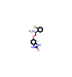 N[C@@H](COc1ccc2[nH]c(=O)[nH]c2c1)c1ccccc1Cl